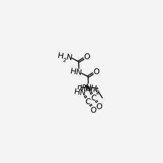 CCCCCC.N=C=O.N=C=O.NC(=O)NC(N)=O